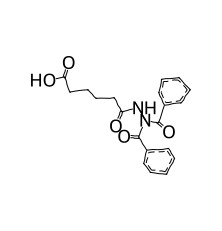 O=C(O)CCCCC(=O)NN(C(=O)c1ccccc1)C(=O)c1ccccc1